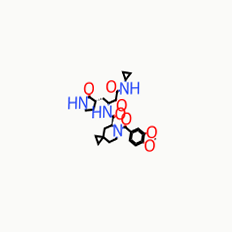 O=C(NC1CC1)C(=O)C(C[C@@H]1CCNC1=O)NC(=O)[C@@H]1CC2(CCN1C(=O)c1ccc3c(c1)OCO3)CC2